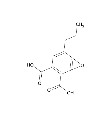 CCCc1cc(C(=O)O)c(C(=O)O)c2c1O2